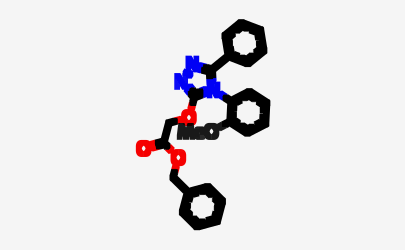 COc1ccccc1-n1c(OCC(=O)OCc2ccccc2)nnc1-c1ccccc1